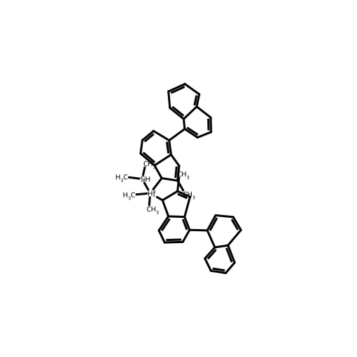 CC1=Cc2c(-c3cccc4ccccc34)cccc2[CH]1[Hf]([CH3])([CH3])([CH]1C(C)=Cc2c(-c3cccc4ccccc34)cccc21)[SiH](C)C